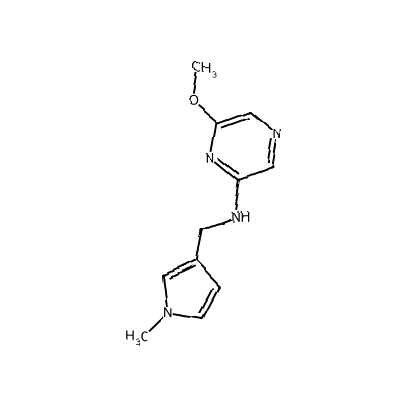 COc1cncc(NCc2ccn(C)c2)n1